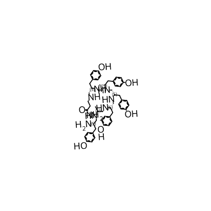 C[C@@H](CN[C@H](CN[C@H](CN[C@H](CN[C@H](CNCCC(N)=O)Cc1ccc(O)cc1)Cc1ccc(O)cc1)Cc1ccc(O)cc1)Cc1ccc(O)cc1)NC[C@@H](N)Cc1ccc(O)cc1